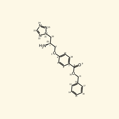 N[C@H](COc1ccc(C(=O)OCc2ccccc2)cc1)Cn1ncnn1